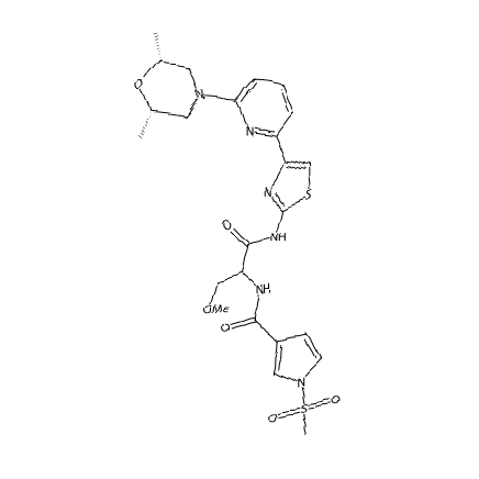 COCC(NC(=O)c1ccn(S(C)(=O)=O)c1)C(=O)Nc1nc(-c2cccc(N3C[C@@H](C)O[C@@H](C)C3)n2)cs1